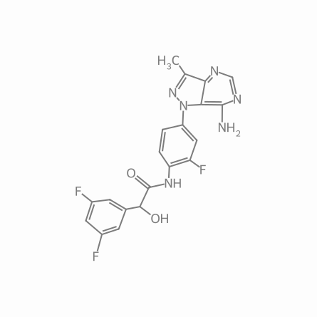 Cc1nn(-c2ccc(NC(=O)C(O)c3cc(F)cc(F)c3)c(F)c2)c2c(N)ncnc12